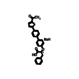 CC(=O)c1ccc(-c2ccc(-c3ccc(O[C@@H](Cc4ccccc4)C(=O)O)cc3)cc2)s1.[NaH]